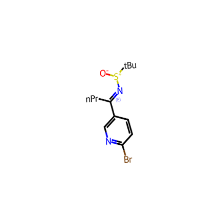 CCC/C(=N\[S+]([O-])C(C)(C)C)c1ccc(Br)nc1